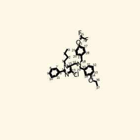 CCCCn1c(-c2ccccc2)nc(Cl)c1CN(Cc1ccc(OC(F)F)cc1)Cc1cccc(OCC)c1